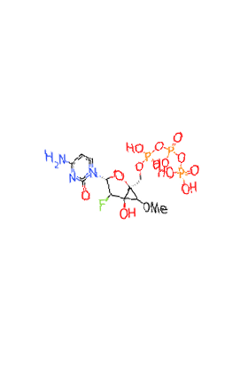 COC1[C@]2(COP(=O)(O)OP(=O)(O)OP(=O)(O)O)O[C@@H](n3ccc(N)nc3=O)[C@H](F)[C@@]12O